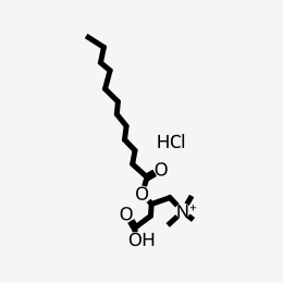 CCCCCCCCCCCC(=O)OC(CC(=O)O)C[N+](C)(C)C.Cl